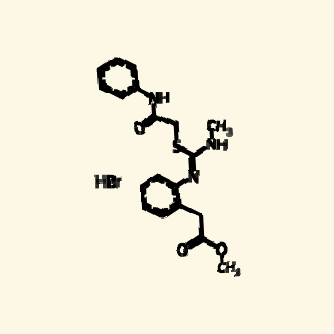 Br.CNC(=Nc1ccccc1CC(=O)OC)SCC(=O)Nc1ccccc1